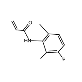 C=CC(=O)Nc1c(C)ccc(F)c1C